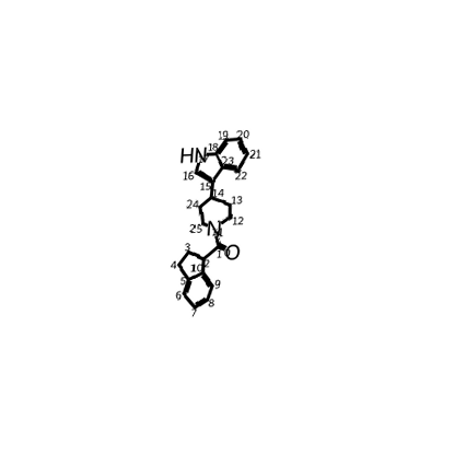 O=C(C1CCc2ccccc21)N1CCC(c2c[nH]c3ccccc23)CC1